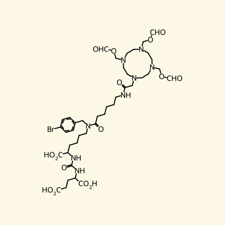 O=COCN1CCN(COC=O)CCN(CC(=O)NCCCCCC(=O)N(CCCCC(NC(=O)NC(CCC(=O)O)C(=O)O)C(=O)O)Cc2ccc(Br)cc2)CCN(COC=O)CC1